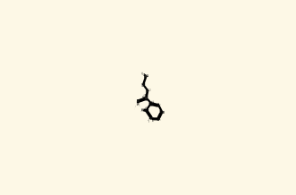 OCCCc1coc2c(F)cccc12